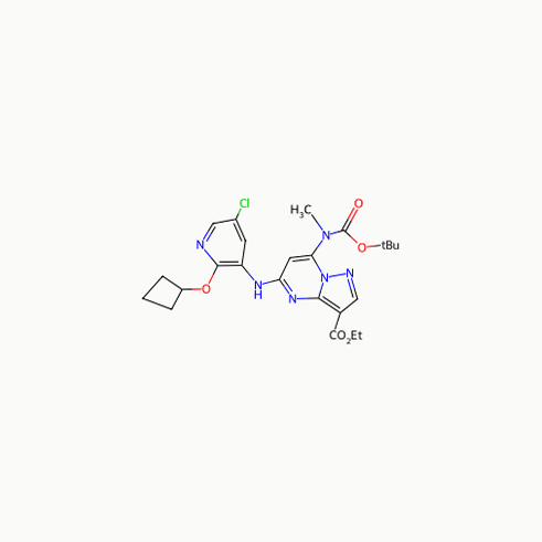 CCOC(=O)c1cnn2c(N(C)C(=O)OC(C)(C)C)cc(Nc3cc(Cl)cnc3OC3CCC3)nc12